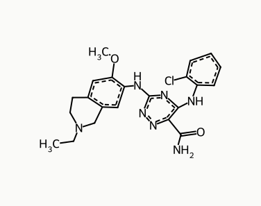 CCN1CCc2cc(OC)c(Nc3nnc(C(N)=O)c(Nc4ccccc4Cl)n3)cc2C1